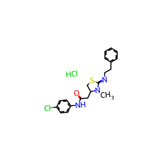 CN1C(=NCCc2ccccc2)SCC1CC(=O)Nc1ccc(Cl)cc1.Cl